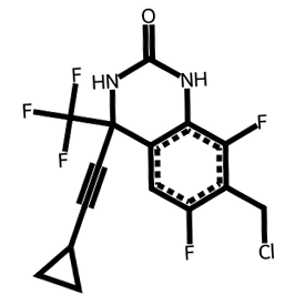 O=C1Nc2c(cc(F)c(CCl)c2F)C(C#CC2CC2)(C(F)(F)F)N1